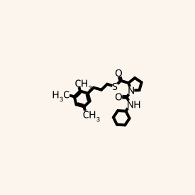 Cc1cc(C)c(C)c(CCCSC(=O)C2CCCN2C(=O)NC2CCCCC2)c1